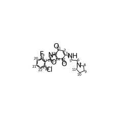 O=C1C=C(NCCN2CCCC2)C(=O)c2oc(-c3c(F)cccc3Cl)nc21